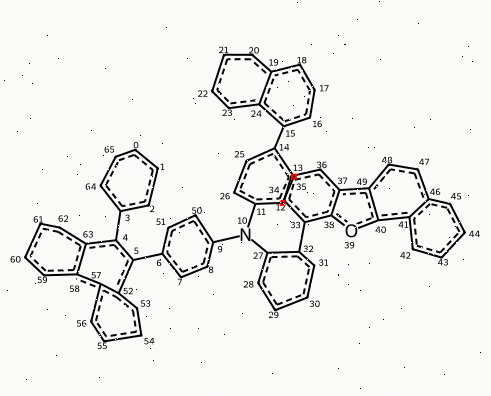 c1ccc(-c2c(-c3ccc(N(c4ccc(-c5cccc6ccccc56)cc4)c4ccccc4-c4cccc5c4oc4c6ccccc6ccc54)cc3)c3ccccc3c3ccccc23)cc1